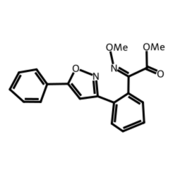 CO/N=C(\C(=O)OC)c1ccccc1-c1cc(-c2ccccc2)on1